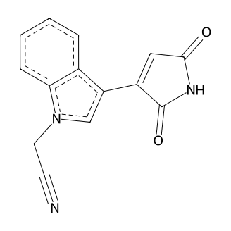 N#CCn1cc(C2=CC(=O)NC2=O)c2ccccc21